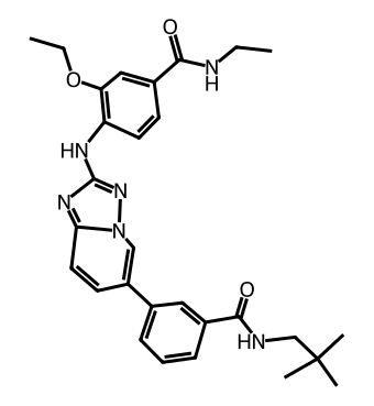 CCNC(=O)c1ccc(Nc2nc3ccc(-c4cccc(C(=O)NCC(C)(C)C)c4)cn3n2)c(OCC)c1